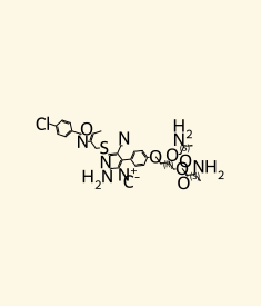 [C-]#[N+]c1c(N)nc(SCc2nc(-c3ccc(Cl)cc3)oc2C)c(C#N)c1-c1ccc(OC[C@H](COC(=O)[C@H](C)N)OC(=O)[C@H](C)N)cc1